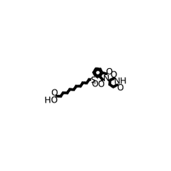 O=C(O)CCCCCCCCCC[S+]([O-])c1cccc2c1C(=O)N(C1CCC(=O)NC1=O)C2=O